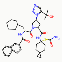 CC(C)(O)c1cnnn1[C@H]1C[C@@H](C(=O)NC2(SC(N)=O)CCC3(CC3)CC2)N(C(=O)[C@@H](CC2CCCCC2)NC(=O)c2ccc3ccccc3c2)C1